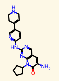 Nc1cc2cnc(Nc3ccc(C4=CCNCC4)cn3)nc2n(C2CCCC2)c1=O